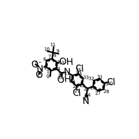 Cc1c([N+](=O)[O-])cc(C(C)(C)C)c(O)c1C(=O)Nc1cc(Cl)c(C(C#N)c2ccc(Cl)cc2)cc1Cl